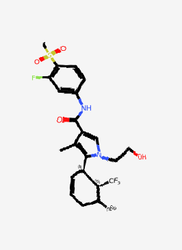 CCCCC1CC=C[C@@H](c2c(C)c(C(=O)Nc3ccc(S(C)(=O)=O)c(F)c3)cn2CCO)[C@H]1C(F)(F)F